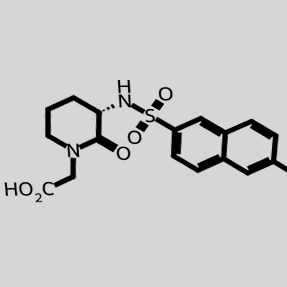 O=C(O)CN1CCC[C@H](NS(=O)(=O)c2ccc3cc(Cl)ccc3c2)C1=O